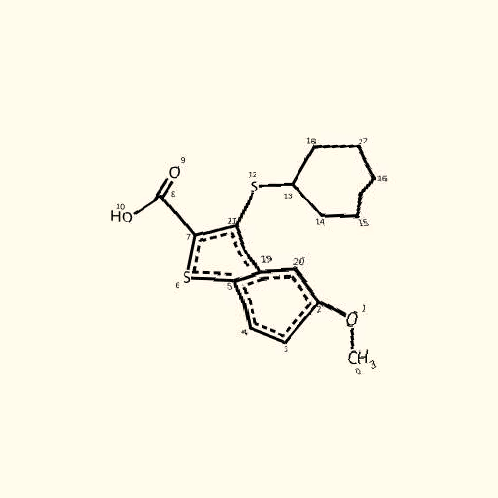 COc1ccc2sc(C(=O)O)c(SC3CCCCC3)c2c1